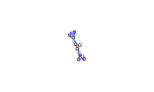 C(=C\c1ccc2c(c1)c1ccccc1n2-c1ccccc1)/c1ccc2c(c1)C1(CCCCC1)c1cc(/C=C/c3ccc4c(c3)c3ccccc3n4-c3ccccc3)ccc1-2